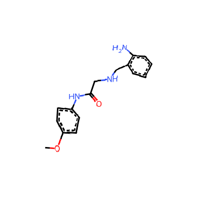 COc1ccc(NC(=O)CNCc2ccccc2N)cc1